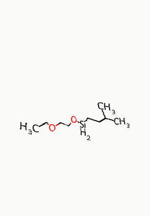 CCOCCO[SiH2]CCC(C)C